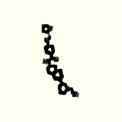 CC(C)CN1CCCC(c2ccc3c(c2)CC[C@H](NC(=O)c2ccc(OC[C@@H]4CCCO4)cc2)C3)C1